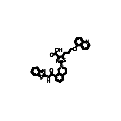 O=C(Nc1nc2ccccc2s1)c1cccc2c1CN(c1nc(C(=O)O)c(CCCOc3cccc4ncccc34)s1)CC2